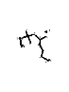 CCCNC(C)(C)CC(C)CCCC(C)C.I